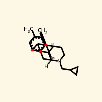 C=C1C[C@]23CCN(CC4CC4)[C@H](Cc4ccc(C)cc42)C3C2CC12